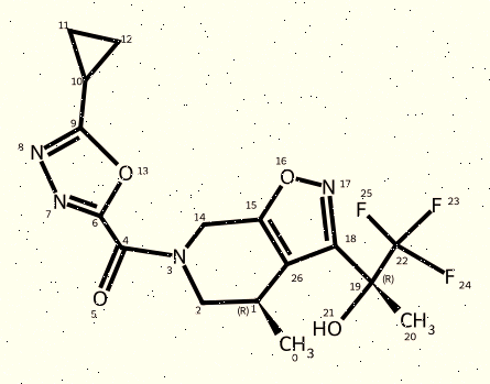 C[C@H]1CN(C(=O)c2nnc(C3CC3)o2)Cc2onc([C@@](C)(O)C(F)(F)F)c21